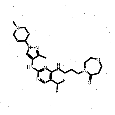 Cc1nn(C2CCN(C)CC2)cc1Nc1ncc(C(F)F)c(NCCCN2CCOCCC2=O)n1